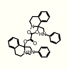 CN1CCc2ccccc2C1(CNc1ccccc1)OC(=O)C(=O)OC1(CNc2ccccc2)c2ccccc2CCN1C